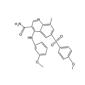 COc1ccc(S(=O)(=O)c2cc(C)c3ncc(C(N)=O)c(Nc4cccc(OC)c4)c3c2)cc1